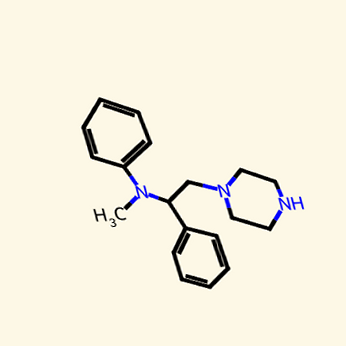 CN(c1ccccc1)C(CN1CCNCC1)c1ccccc1